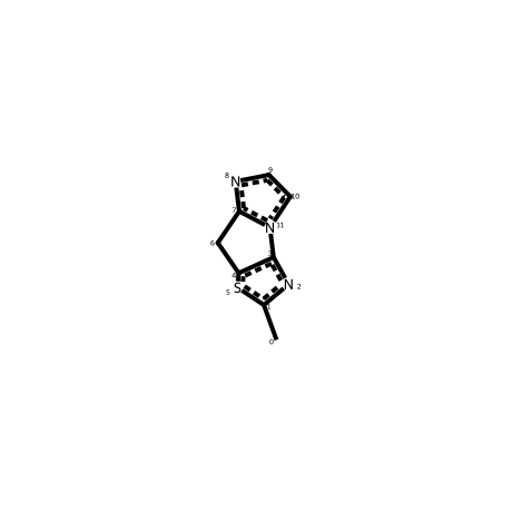 Cc1nc2c(s1)Cc1nccn1-2